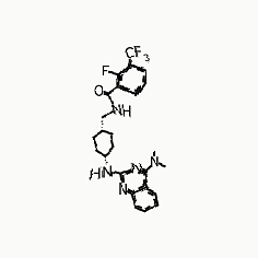 CN(C)c1nc(N[C@H]2CC[C@@H](CNC(=O)c3cccc(C(F)(F)F)c3F)CC2)nc2ccccc12